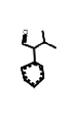 CC(C)C([C]=O)c1ccccc1